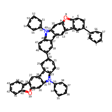 c1ccc(-c2ccc3oc4cc5c(cc4c3c2)c2cc(-c3ccc4c(c3)c3cc6c(cc3n4-c3ccccc3)oc3ccccc36)ccc2n5-c2ccccc2)cc1